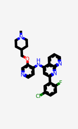 CN1CCC(COc2cnccc2Nc2cc(-c3cc(Cl)ccc3F)nc3ncccc23)CC1